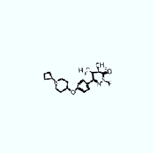 CC1C(=O)N(F)N=C(c2ccc(OC3CCN(C4CCC4)CC3)cc2)C1C